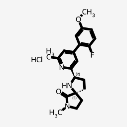 COc1ccc(F)c(-c2cc(C)nc([C@H]3CC[C@@]4(CCN(C)C4=O)N3)c2)c1.Cl